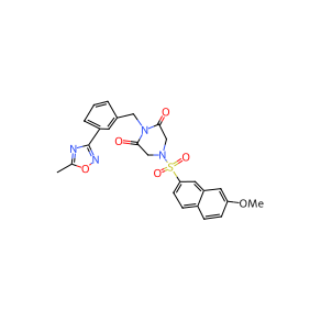 COc1ccc2ccc(S(=O)(=O)N3CC(=O)N(Cc4cccc(-c5noc(C)n5)c4)C(=O)C3)cc2c1